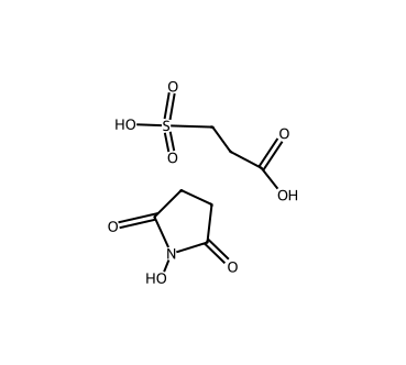 O=C(O)CCS(=O)(=O)O.O=C1CCC(=O)N1O